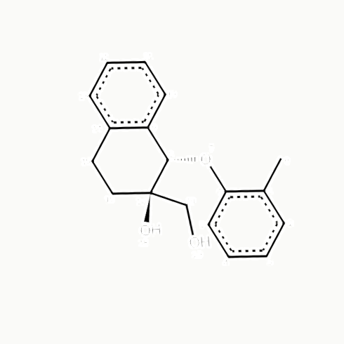 Cc1ccccc1O[C@H]1c2ccccc2CC[C@@]1(O)CO